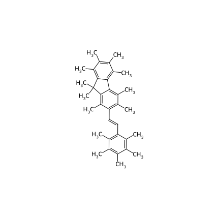 Cc1c(C)c(C)c(/C=C/c2c(C)c(C)c3c(c2C)C(C)(C)c2c(C)c(C)c(C)c(C)c2-3)c(C)c1C